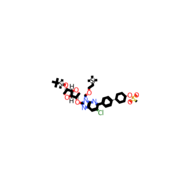 CC(C)(C)[Si](C)(C)O[C@@H]1CO[C@H]2[C@@H]1OC[C@H]2Oc1nc2cc(Cl)c(-c3ccc([C@H]4CC[C@@H](OS(C)(=O)=O)CC4)cc3)nc2n1COCC[Si](C)(C)C